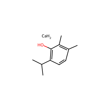 Cc1ccc(C(C)C)c(O)c1C.[CaH2]